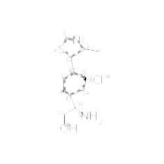 Cc1ncsc1-c1ccc(C(N)CO)cc1.Cl